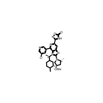 CO[C@@H]1C[C@@H](C)N(c2nc3cc(-c4noc(=O)[nH]4)nc(-c4cncc(Cl)c4)c3n2[C@H](C)C2CCC(C)CC2)C1